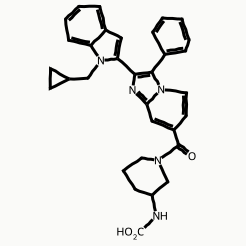 O=C(O)NC1CCCN(C(=O)c2ccn3c(-c4ccccc4)c(-c4cc5ccccc5n4CC4CC4)nc3c2)C1